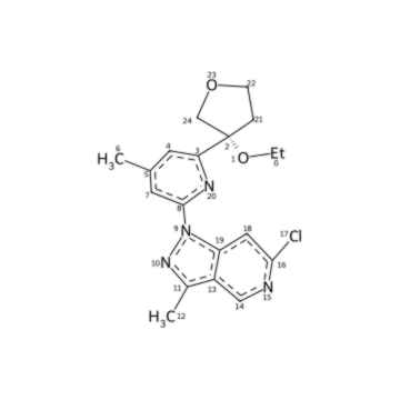 CCO[C@@]1(c2cc(C)cc(-n3nc(C)c4cnc(Cl)cc43)n2)CCOC1